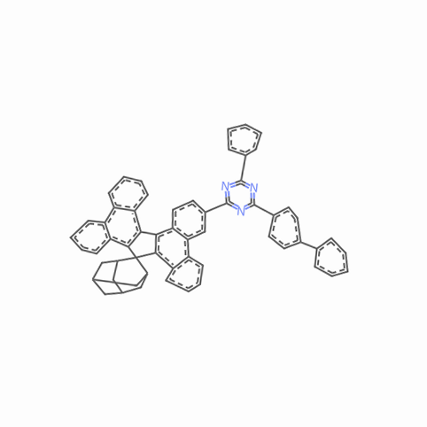 c1ccc(-c2ccc(-c3nc(-c4ccccc4)nc(-c4ccc5c6c(c7ccccc7c5c4)C4(c5c-6c6ccccc6c6ccccc56)C5CC6CC(C5)CC4C6)n3)cc2)cc1